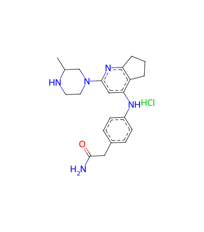 CC1CN(c2cc(Nc3ccc(CC(N)=O)cc3)c3c(n2)CCC3)CCN1.Cl